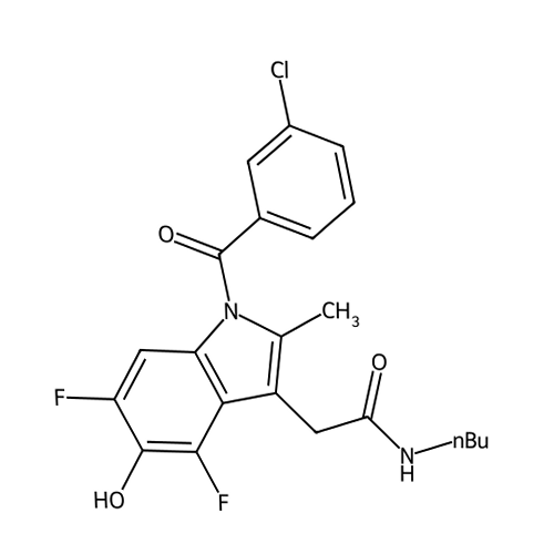 CCCCNC(=O)Cc1c(C)n(C(=O)c2cccc(Cl)c2)c2cc(F)c(O)c(F)c12